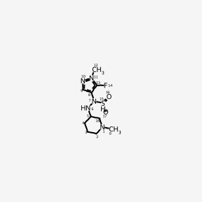 CN1CCCC(NN(c2cnn(C)c2F)[SH](=O)=O)C1